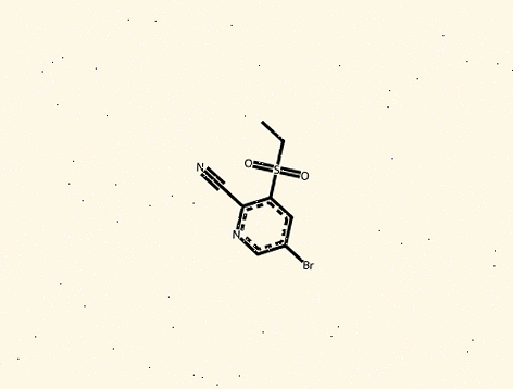 CCS(=O)(=O)c1cc(Br)cnc1C#N